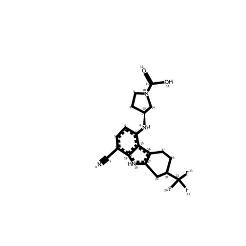 N#Cc1ccc(N[C@H]2CCN(C(=O)O)C2)c2c3c([nH]c12)CC(C(F)(F)F)CC3